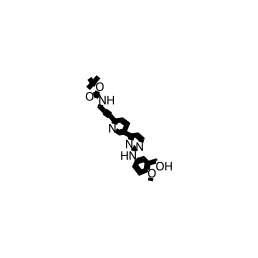 COc1ccc(Nc2nccc(-c3ccc(C#CCNC(=O)OC(C)(C)C)nc3)n2)cc1CO